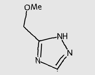 COCc1n[c]n[nH]1